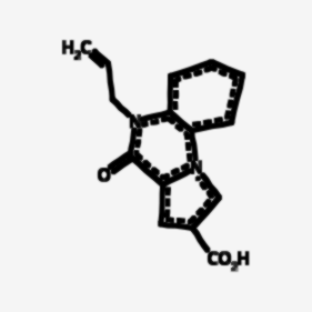 C=CCn1c(=O)c2cc(C(=O)O)cn2c2ccccc21